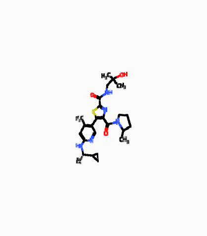 CC[C@H](Nc1cc(C(F)(F)F)c(-c2sc(C(=O)NCC(C)(C)O)nc2C(=O)N2CCCC2C)cn1)C1CC1